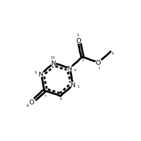 COC(=O)n1ncc(=O)nn1